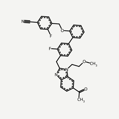 COCCn1c(Cc2ccc(-c3ccccc3OCc3ccc(C#N)cc3F)cc2F)nc2ccc(C(C)=O)cc21